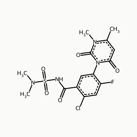 Cc1cc(=O)n(-c2cc(C(=O)NS(=O)(=O)N(C)C)c(Cl)cc2F)c(=O)n1C